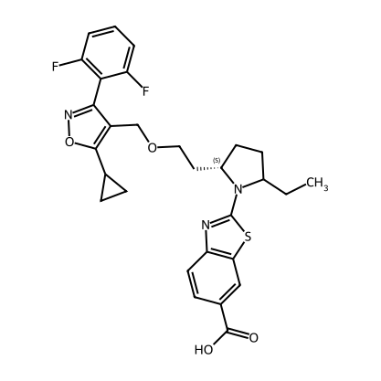 CCC1CC[C@@H](CCOCc2c(-c3c(F)cccc3F)noc2C2CC2)N1c1nc2ccc(C(=O)O)cc2s1